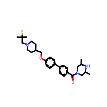 CC1CN(C(=O)c2ccc(-c3ccc(OCC4CCN(CC(C)(C)F)CC4)cc3)cc2)CC(C)N1